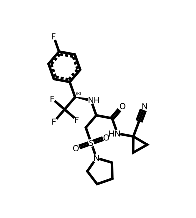 N#CC1(NC(=O)C(CS(=O)(=O)N2CCCC2)N[C@H](c2ccc(F)cc2)C(F)(F)F)CC1